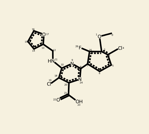 COc1c(Cl)ccc(-c2nc(NCc3ccco3)c(Cl)c(C(=O)O)n2)c1F